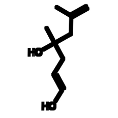 C=C(C)CC(C)(O)CC=CO